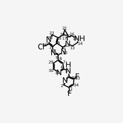 Fc1cnc(Nc2cc(-c3nc(N4CCNCC4)c4c(C5CC5)cnc(Cl)c4n3)ccn2)c(F)c1